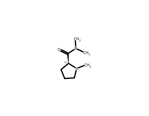 [CH2]N(C)C(=O)[C@@H]1CCCN1C